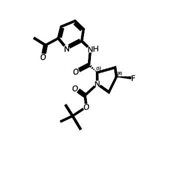 CC(=O)c1cccc(NC(=O)[C@@H]2C[C@@H](F)CN2C(=O)OC(C)(C)C)n1